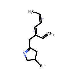 C=C/C(=C\C=C/C)CC1=NCC(C(C)C)C1